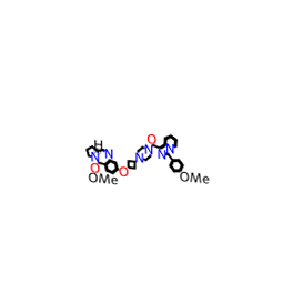 COc1ccc(-c2nc(C(=O)N3CCN(C4CC(Oc5cc6c(cc5OC)C(=O)N5CCC[C@H]5C=N6)C4)CC3)c3ccccn23)cc1